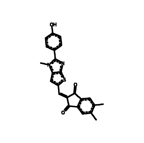 Cc1cc2c(cc1C)C(=O)C(=Cc1cc3c(nc(-c4ccc(O)cc4)n3C)s1)C2=O